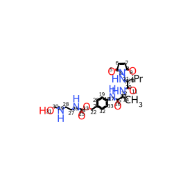 CC(C)[C@H](NN1C(=O)C=CC1=O)C(=O)N[C@@H](C)C(=O)Nc1ccc(COC(=O)NCCNCO)cc1